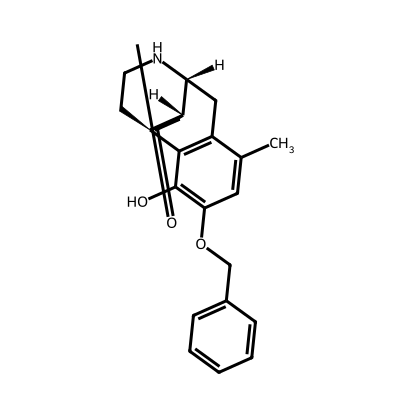 Cc1cc(OCc2ccccc2)c(O)c2c1C[C@H]1NCC[C@@]23CC(=O)CC[C@@H]13